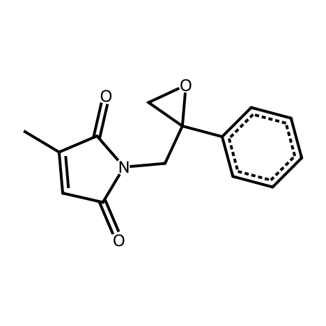 CC1=CC(=O)N(CC2(c3ccccc3)CO2)C1=O